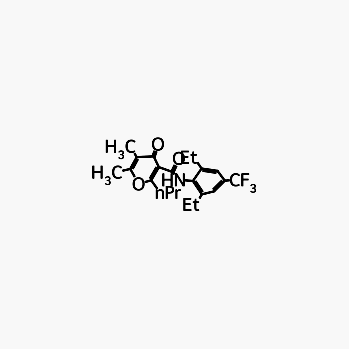 CCCc1oc(C)c(C)c(=O)c1C(=O)Nc1c(CC)cc(C(F)(F)F)cc1CC